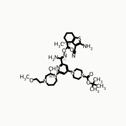 COCCN1CCCN(c2cc(N3CCN(C(=O)OC(C)(C)C)CC3)cc(/C(N)=N/OC(=O)[C@@]3(C)CCCc4sc(N)c(C#N)c43)n2)[C@@H](C)C1